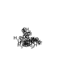 COc1ccc(C(OC[C@H]2S[C@@H](n3cnc4c(NC(=O)c5ccccc5)ncnc43)[C@H](O[Si](C)(C)C(C)(C)C)[C@@H]2O)(c2ccccc2)c2ccc(OC)cc2)cc1